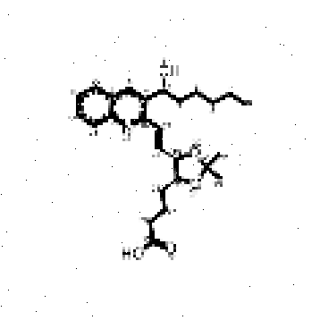 CCCCC[C@H](O)c1cc2ccccc2nc1/C=C/[C@H]1OC(C)(C)O[C@H]1CCCC(=O)O